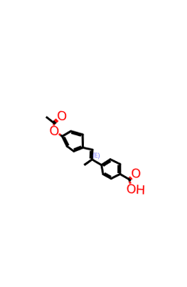 CC(=O)Oc1ccc(/C=C(\C)c2ccc(C(=O)O)cc2)cc1